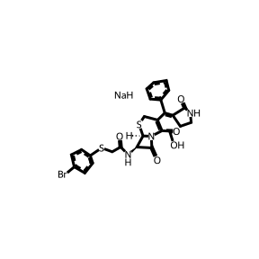 O=C(CSc1ccc(Br)cc1)N[C@@H]1C(=O)N2C(C(=O)O)=C(C(=C3CCNC3=O)c3ccccc3)CS[C@H]12.[NaH]